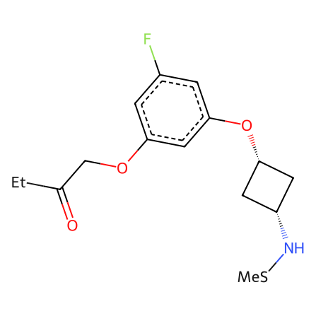 CCC(=O)COc1cc(F)cc(O[C@H]2C[C@@H](NSC)C2)c1